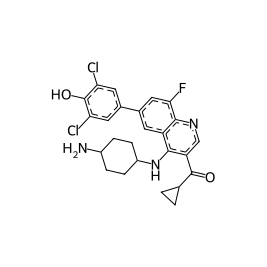 NC1CCC(Nc2c(C(=O)C3CC3)cnc3c(F)cc(-c4cc(Cl)c(O)c(Cl)c4)cc23)CC1